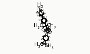 CC(C)C(C)(c1ccc(-c2cnc(N)nc2)cc1)c1noc(N2CCC(N(C)C)CC2)n1